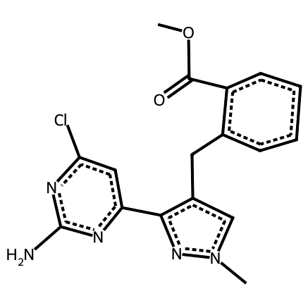 COC(=O)c1ccccc1Cc1cn(C)nc1-c1cc(Cl)nc(N)n1